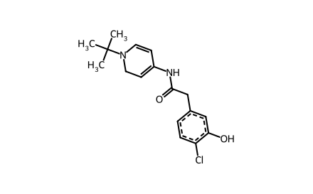 CC(C)(C)N1C=CC(NC(=O)Cc2ccc(Cl)c(O)c2)=CC1